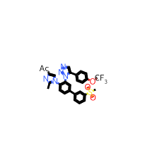 CC(=O)c1cn(-c2ccc(-c3cccc(S(C)(=O)=O)c3)cc2-n2nncc2-c2ccc(OC(F)(F)F)cc2)c(C)n1